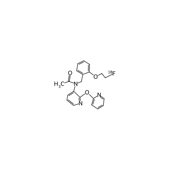 CC(=O)N(Cc1ccccc1OCC[18F])c1cccnc1Oc1ccccn1